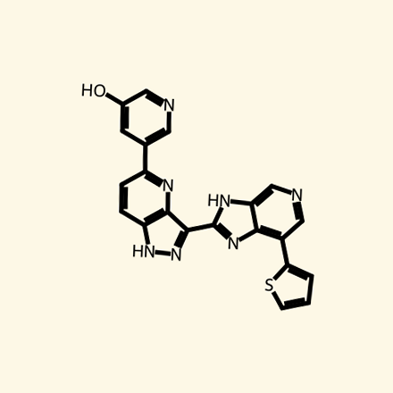 Oc1cncc(-c2ccc3[nH]nc(-c4nc5c(-c6cccs6)cncc5[nH]4)c3n2)c1